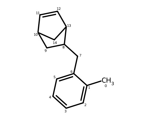 Cc1ccccc1CC1CC2C=CC1C2